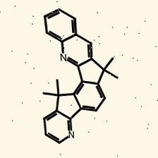 CC1(C)c2cc3ccccc3nc2-c2c1ccc1c2C(C)(C)c2cccnc2-1